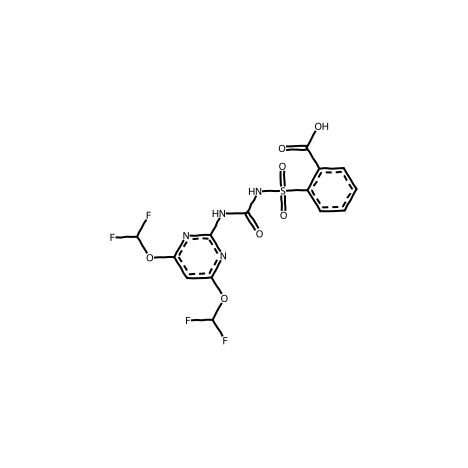 O=C(Nc1nc(OC(F)F)cc(OC(F)F)n1)NS(=O)(=O)c1ccccc1C(=O)O